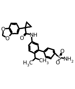 CC(C)c1ccc(NC(=O)C2(c3ccc4c(c3)OCO4)CC2)cc1-c1ccc(S(N)(=O)=O)cc1